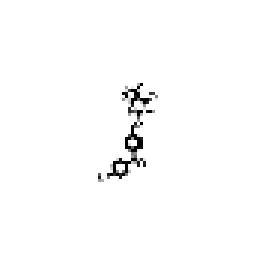 Cc1noc2nc(SCc3ccc(C(=O)c4ccc(Cl)cc4)cc3)n(C)c(=O)c12